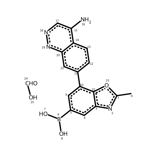 Cc1nc2cc(B(O)O)cc(-c3ccc4c(N)cnnc4c3)c2o1.O=CO